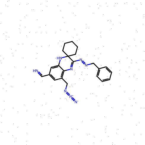 [N-]=[N+]=NCc1cc(C=N)cc2c1N=C(N=NCc1ccccc1)C1(CCCCC1)N2